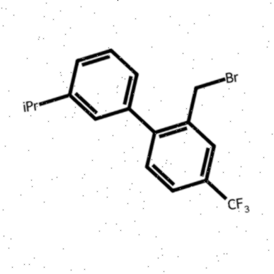 CC(C)c1cccc(-c2ccc(C(F)(F)F)cc2CBr)c1